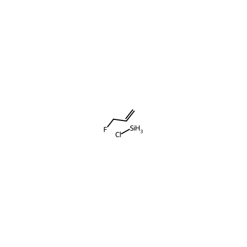 C=CCF.[SiH3]Cl